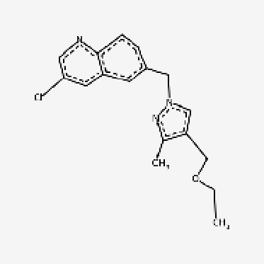 CCOCc1cn(Cc2ccc3ncc(Cl)cc3c2)nc1C